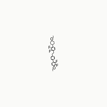 CCOc1ccc(-c2ccc(CCc3ccc(C4CCC(OCC)CC4)c(F)c3F)cc2)c(F)c1F